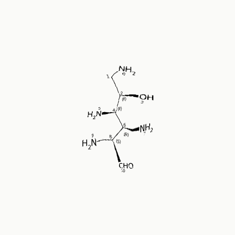 NC[C@@H](O)[C@H](N)[C@@H](N)[C@H](N)C=O